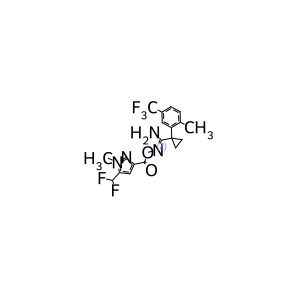 Cc1ccc(C(F)(F)F)cc1C1(/C(N)=N/OC(=O)c2cc(C(F)F)n(C)n2)CC1